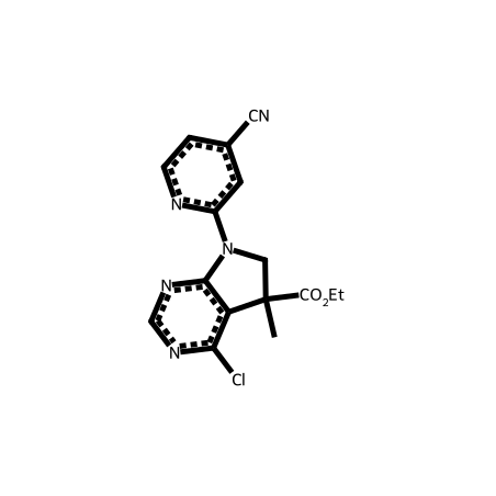 CCOC(=O)C1(C)CN(c2cc(C#N)ccn2)c2ncnc(Cl)c21